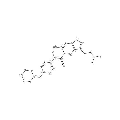 CC(C)CCc1n[nH]c2cc(O)c(C(=O)N(C)c3ccc(CN4CCOCC4)cc3)cc12